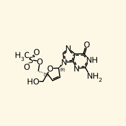 CS(=O)(=O)OC[C@@]1(CO)C=C[C@H](n2cnc3c(=O)[nH]c(N)nc32)O1